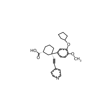 COc1ccc([C@]2(C#Cc3ccncc3)CCC[C@@H](C(=O)O)C2)cc1OC1CCCC1